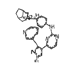 CCn1cc(-c2ccnc(Nc3ccc(N4CC5CCC(C4)N5C(=O)O)cc3)n2)c(-c2cccnc2)n1